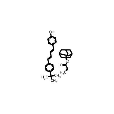 C=CC(=O)OC12CC3CC(CC(C3)C1)C2.CC(C)(C)c1ccc(C=CC=Cc2ccc(O)cc2)cc1